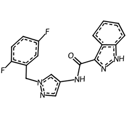 O=C(Nc1cnn(Cc2cc(F)ccc2F)c1)c1n[nH]c2ccccc12